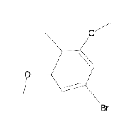 COC1=CC(Br)=CC(OC)C1C